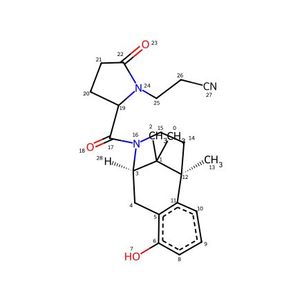 CC1(C)[C@H]2Cc3c(O)cccc3[C@]1(C)CCN2C(=O)C1CCC(=O)N1CCC#N